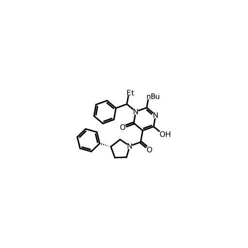 CCCCc1nc(O)c(C(=O)N2CC[C@H](c3ccccc3)C2)c(=O)n1C(CC)c1ccccc1